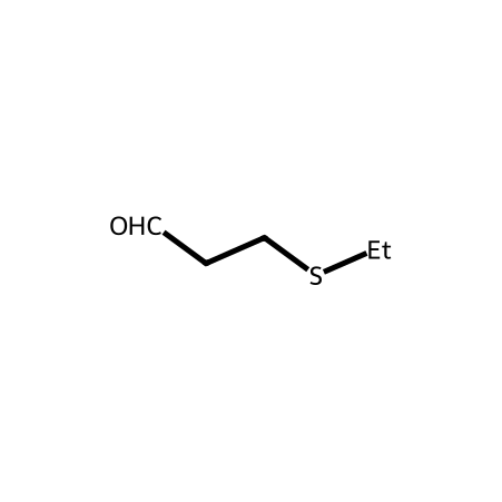 CCSCCC=O